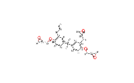 C=CCc1cc(C(C)(C)c2ccc(OCC3CO3)c(CC3CO3)c2)ccc1OC[C@@H]1CO1